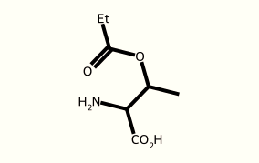 CCC(=O)OC(C)C(N)C(=O)O